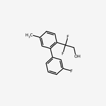 Cc1ccc(C(F)(F)CO)c(-c2cccc(F)c2)c1